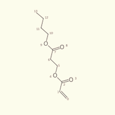 C=CC(=O)OCCC(=O)OCCCC